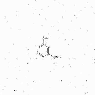 COc1[c][c]cc(OC)c1